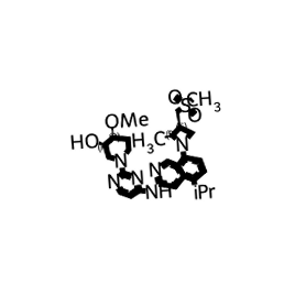 CO[C@@H]1CCN(c2nccc(Nc3cc4c(C(C)C)ccc(N5C[C@H](CS(C)(=O)=O)[C@H]5C)c4cn3)n2)C[C@H]1O